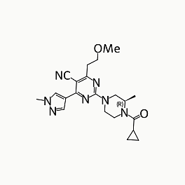 COCCc1nc(N2CCN(C(=O)C3CC3)[C@H](C)C2)nc(-c2cnn(C)c2)c1C#N